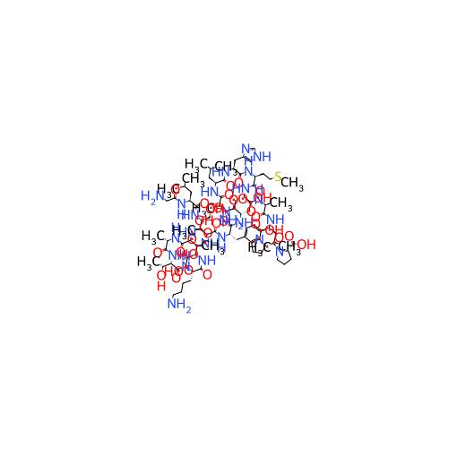 CSCC[C@H](NC(=O)[C@H](Cc1c[nH]cn1)NC(=O)[C@H](CC(C)C)NC(=O)[C@H](C)NC(=O)[C@H](CC(=O)O)NC(=O)[C@H](Cc1ccc(O)cc1)NC(=O)[C@@H](NC(=O)[C@H](CC(=O)O)NC(=O)[C@H](CCCCN)NC(=O)[C@@H](NC(=O)[C@H](C)NC(=O)[C@@H](NC(=O)[C@H](CO)NC(=O)[C@H](CC(C)C)NC(=O)CN)[C@@H](C)O)[C@@H](C)O)[C@@H](C)O)C(=O)N[C@@H](CCC(N)=O)C(=O)N[C@@H](C)C(=O)N[C@@H](CC(C)C)C(=O)N1CCC[C@H]1C(=O)N1CCC[C@H]1C(=O)O